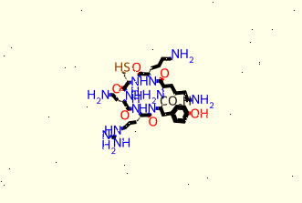 N=C(N)NCCC[C@H](NC(=O)[C@H](CCN)NC(=O)[C@H](CS)NC(=O)[C@H](CCCCN)NC(=O)[C@@H](N)CCCCN)C(=O)N[C@@H](Cc1ccc(O)cc1)C(=O)O